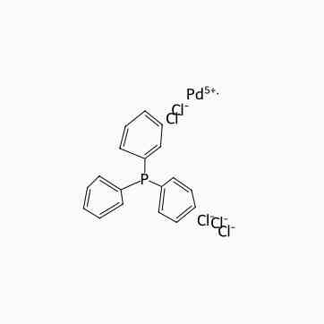 [Cl-].[Cl-].[Cl-].[Cl-].[Cl-].[Pd+5].c1ccc(P(c2ccccc2)c2ccccc2)cc1